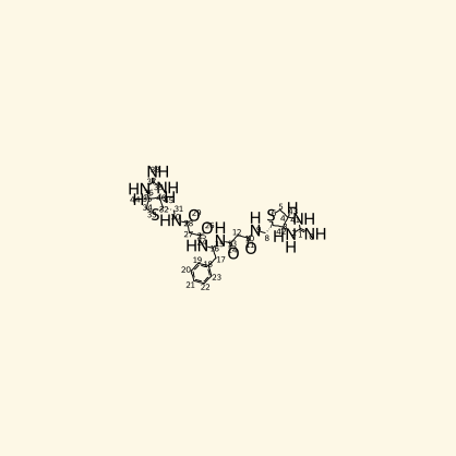 N=C1N[C@H]2[C@H](CS[C@H]2CNC(=O)CC(=O)NC(Cc2ccccc2)NC(=O)CC(=O)NC[C@@H]2SC[C@@H]3NC(=N)N[C@@H]32)N1